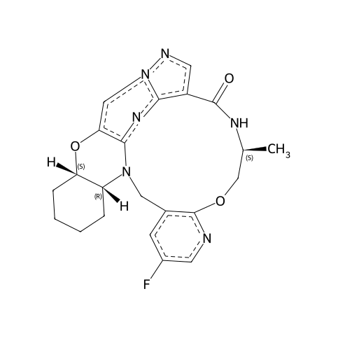 C[C@H]1COc2ncc(F)cc2CN2c3nc4c(cnn4cc3O[C@H]3CCCC[C@H]32)C(=O)N1